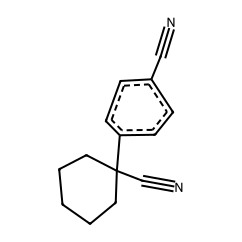 N#Cc1ccc(C2(C#N)CCCCC2)cc1